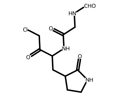 O=CNCC(=O)NC(CC1CCNC1=O)C(=O)CCl